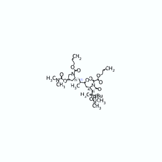 C=CCOC(=O)C(=O)N1C(=O)[C@H]([C@@](C)(O[SiH](C)C)C(C)(C)C)[C@H]1CC(=O)/C(C)=C/[C@@H]1C[C@@H](OC(=O)N(C)C)CN1C(=O)OCC=C